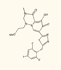 COCCN1CN(C)C(=O)c2c(O)c(=O)c(-c3nnc(Cc4c(F)cc(F)cc4F)s3)cn21